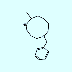 CC1CCCCN(Cc2ccccc2)CCCN1